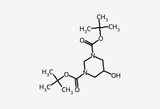 CC(C)(C)OC(=O)N1CC(O)CN(C(=O)OC(C)(C)C)C1